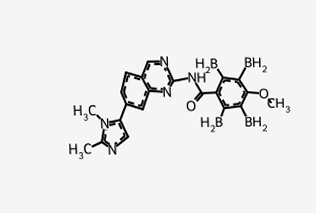 Bc1c(B)c(C(=O)Nc2ncc3ccc(-c4cnc(C)n4C)cc3n2)c(B)c(B)c1OC